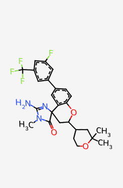 CN1C(=O)C2(CC(C3CCOC(C)(C)C3)Oc3ccc(-c4cc(F)cc(C(F)(F)F)c4)cc32)N=C1N